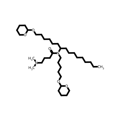 CCCCCCCCCC(CCCCCCOC1CCCCO1)N(CCCCCOC1CCCCO1)C(=O)CCCN(C)C